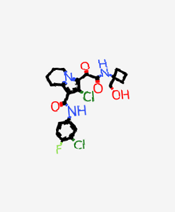 O=C(NC1(CO)CCC1)C(=O)c1c(Cl)c(C(=O)Nc2ccc(F)c(Cl)c2)c2n1CCCC2